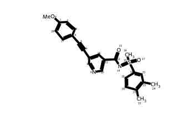 COc1ccc(C#Cc2cncc(C(=O)N=S(C)(=O)c3ccc(C)c(C)c3)c2)cc1